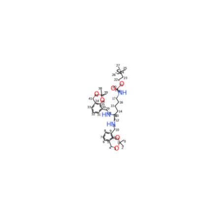 CC1(C)OCc2cccc(CNC[C@H](CCCCNC(=O)OCC[Si](C)(C)C)NCc3cccc4c3OC(C)(C)OC4)c2O1